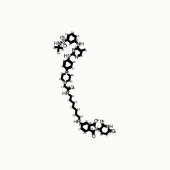 Cc1cnc(Nc2ccc(N3CCN(CC(=O)NCCCCCCCNc4ccc5c(c4)C(=O)N(C4CCC(=O)NC4=O)C5=O)CC3)cc2)nc1Nc1cccc(S(=O)(=O)NC(C)(C)C)c1